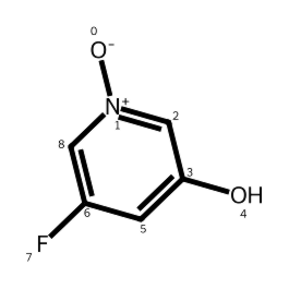 [O-][n+]1cc(O)cc(F)c1